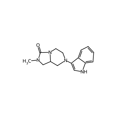 CN1CC2CN(c3c[nH]c4ccccc34)CCN2C1=O